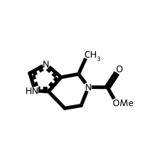 COC(=O)N1CCc2[nH]cnc2C1C